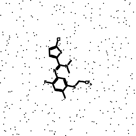 Cc1cc(F)c(/N=C(/c2ccc(Cl)s2)N(C)C)cc1SCC(F)(F)F